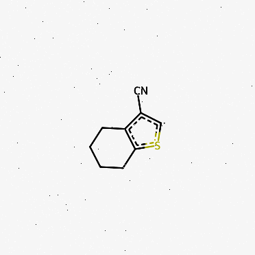 N#Cc1[c]sc2c1CCCC2